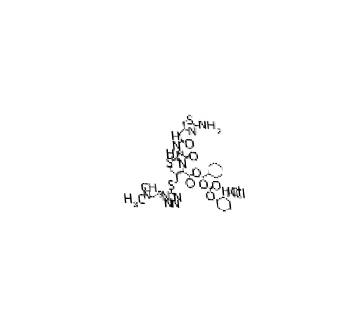 CN(C)CCn1nnnc1SCC1=C(C(=O)OC(OC(=O)OC2CCCCC2)C2CCCCC2)N2C(=O)[C@@H](NC(=O)Cc3csc(N)n3)[C@@H]2SC1.Cl.Cl